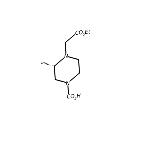 CCOC(=O)CN1CCN(C(=O)O)C[C@@H]1C